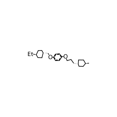 CC[C@H]1CC[C@H](COc2ccc(OCCC[C@H]3CC[C@H](C)CC3)cc2)CC1